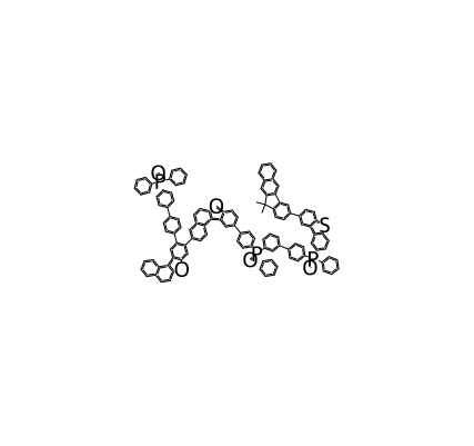 CC1(C)c2ccc(-c3ccc4sc5ccc(P(=O)(c6ccccc6)c6ccc(-c7cccc(P(=O)(c8ccccc8)c8ccc(-c9ccc%10oc%11ccc%12cc(-c%13cc%14oc%15ccc%16ccccc%16c%15c%14cc%13-c%13ccc(-c%14ccc(P(=O)(c%15ccccc%15)c%15ccccc%15)cc%14)cc%13)ccc%12c%11c%10c9)cc8)c7)cc6)cc5c4c3)cc2-c2cc3ccccc3cc21